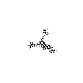 C=C(C)C(=O)OCCCCC1=CC(CCCCOC(=O)C(=C)C)Cc2cc(-c3ccc(OC(=O)C(=C)C)cc3)c(=O)oc21